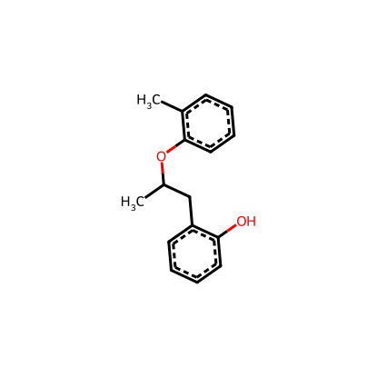 Cc1ccccc1OC(C)Cc1ccccc1O